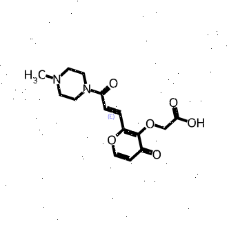 CN1CCN(C(=O)/C=C/c2occc(=O)c2OCC(=O)O)CC1